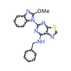 COc1nc2ccccc2n1-c1nc(NCc2ccccc2)c2ncsc2n1